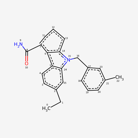 CCc1c[c]c2c3c(C(N)=O)cccc3n(Cc3cccc(C)c3)c2c1